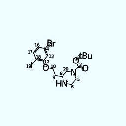 CC(C)(C)OC(=O)N1CCNC(CCOc2cc(Br)ccc2I)C1